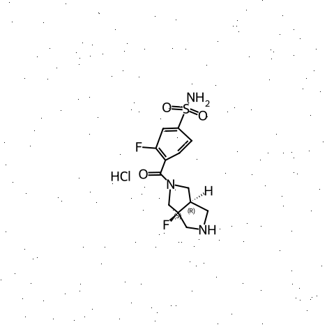 Cl.NS(=O)(=O)c1ccc(C(=O)N2C[C@H]3CNC[C@]3(F)C2)c(F)c1